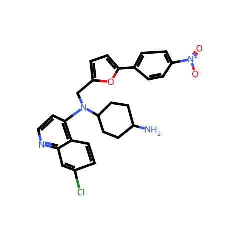 NC1CCC(N(Cc2ccc(-c3ccc([N+](=O)[O-])cc3)o2)c2ccnc3cc(Cl)ccc23)CC1